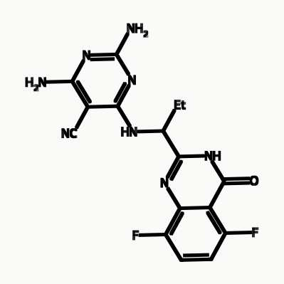 CCC(Nc1nc(N)nc(N)c1C#N)c1nc2c(F)ccc(F)c2c(=O)[nH]1